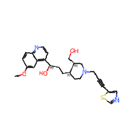 COc1ccc2nccc([C@H](O)CC[C@@H]3CCN(CC#Cc4cncs4)C[C@@H]3CO)c2c1